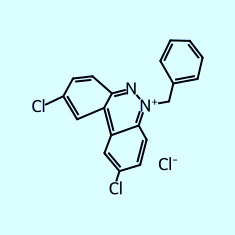 Clc1ccc2n[n+](Cc3ccccc3)c3ccc(Cl)cc3c2c1.[Cl-]